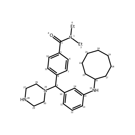 CCN(CC)C(=O)c1ccc(C(c2cccc(NC3CCCCCCC3)c2)N2CCNCC2)cc1